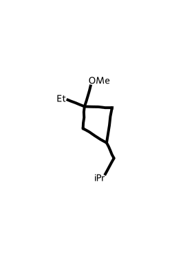 CCC1(OC)CC(CC(C)C)C1